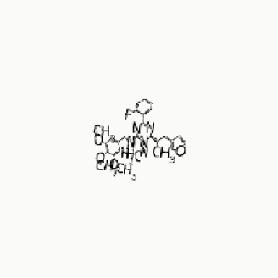 C=NN1C(NCc2cc(OC)c(OC)c(OC)c2)=NC(c2ccccc2F)=N/C1=C(/C)Cc1ccoc1